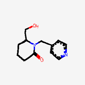 O=C1CCCC(CO)N1Cc1ccncc1